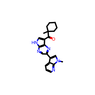 Cn1cc(-c2cnc3[nH]cc(C(=O)C4(C)CCCCC4)c3n2)c2cccnc21